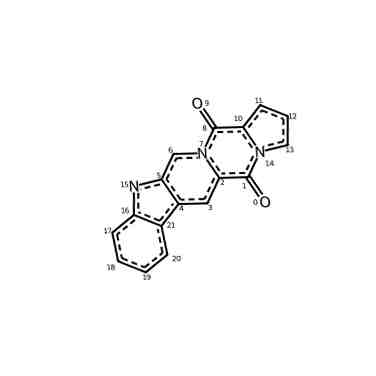 O=c1c2cc3c(cn2c(=O)c2cccn12)nc1ccccc13